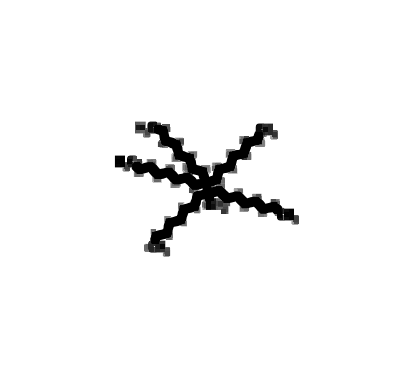 CCCCCCCCC(N)(CCCCCCCC)C(CCCCCCCC)(CCCCCCCC)CCCCCCCC